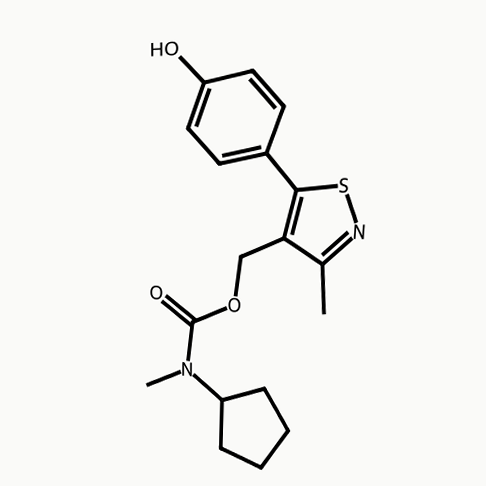 Cc1nsc(-c2ccc(O)cc2)c1COC(=O)N(C)C1CCCC1